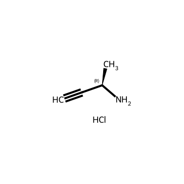 C#C[C@@H](C)N.Cl